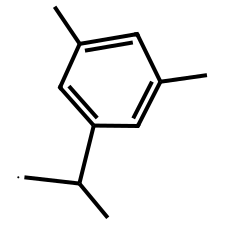 [CH2]C(C)c1cc(C)cc(C)c1